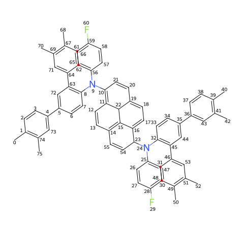 Cc1ccc(-c2ccc(N(C3=C4C=CC5=C6C(=CC=C(C=C3)C46)C(N(c3ccc(F)cc3)c3ccc(-c4ccc(C)c(C)c4)cc3-c3ccc(C)c(C)c3)C=C5)c3ccc(F)cc3)c(-c3ccc(C)c(C)c3)c2)cc1C